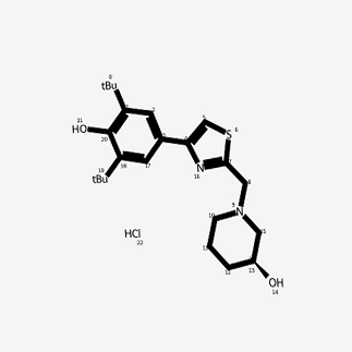 CC(C)(C)c1cc(-c2csc(CN3CCC[C@H](O)C3)n2)cc(C(C)(C)C)c1O.Cl